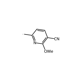 [CH2]c1ccc(C#N)c(OC)n1